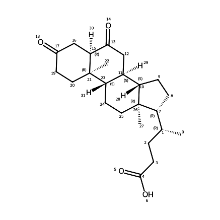 C[C@H](CCC(=O)O)[C@H]1CC[C@H]2[C@@H]3CC(=O)[C@@H]4CC(=O)CC[C@]4(C)[C@H]3CC[C@]12C